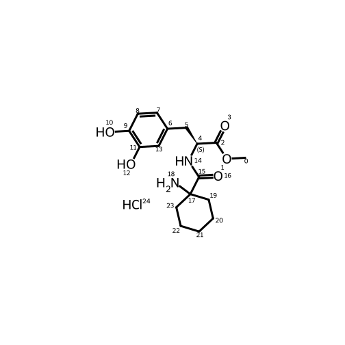 COC(=O)[C@H](Cc1ccc(O)c(O)c1)NC(=O)C1(N)CCCCC1.Cl